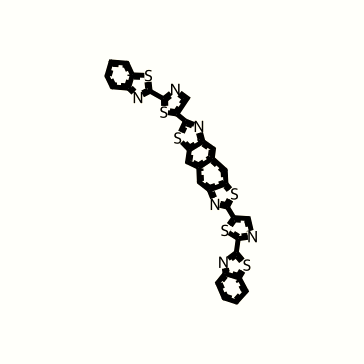 c1ccc2sc(-c3ncc(-c4nc5cc6cc7sc(-c8cnc(-c9nc%10ccccc%10s9)s8)nc7cc6cc5s4)s3)nc2c1